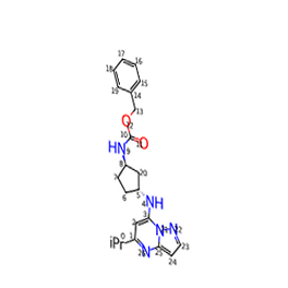 CC(C)c1cc(N[C@@H]2CC[C@@H](NC(=O)OCc3ccccc3)C2)n2nccc2n1